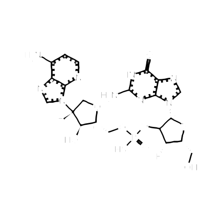 Nc1nc2c(ncn2[C@@H]2S[C@H](CO)[C@H](F)C2OP(=O)(S)OC[C@H]2OC[C@@](F)(n3cnc4c(N)ccnc43)[C@@H]2O)c(=O)[nH]1